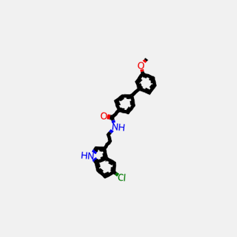 COc1cccc(-c2ccc(C(=O)NCCc3c[nH]c4ccc(Cl)cc34)cc2)c1